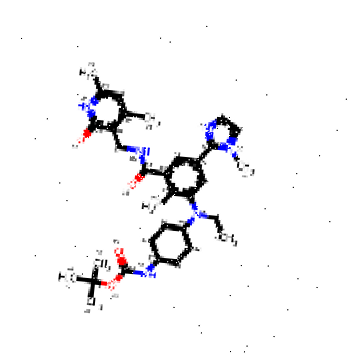 CCN(c1cc(-c2nccn2C)cc(C(=O)NCc2c(C)cc(C)[nH]c2=O)c1C)C1CCC(NC(=O)OC(C)(C)C)CC1